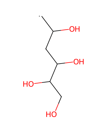 [CH2]C(O)CC(O)C(O)CO